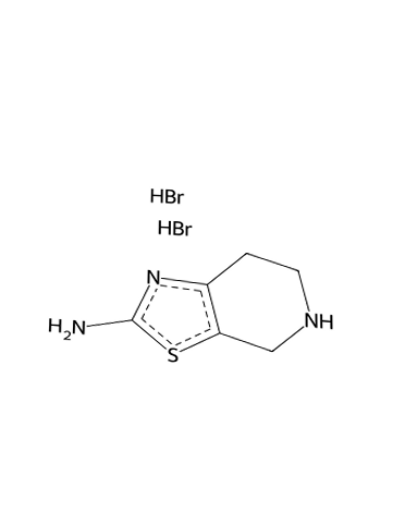 Br.Br.Nc1nc2c(s1)CNCC2